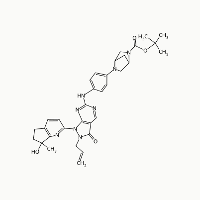 C=CCn1c(=O)c2cnc(Nc3ccc(N4CC5CC4CN5C(=O)OC(C)(C)C)cc3)nc2n1-c1ccc2c(n1)C(C)(O)CC2